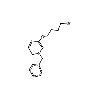 BrCCCCOC1=CN(Cc2ccccc2)CC=C1